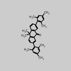 Cc1cc(C)c(-c2ccc3c(c2)C(=O)c2cc(-c4c(C)cc(C)cc4C)ccc2C3(C)C)c(C)c1